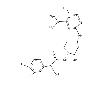 Cc1cnc(N[C@H]2CC[C@@H](NC(=O)C(O)c3ccc(F)c(F)c3)CC2)nc1N(C)C.Cl